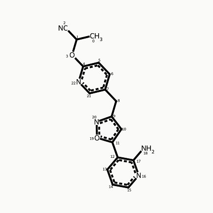 CC(C#N)Oc1ccc(Cc2cc(-c3cccnc3N)on2)cn1